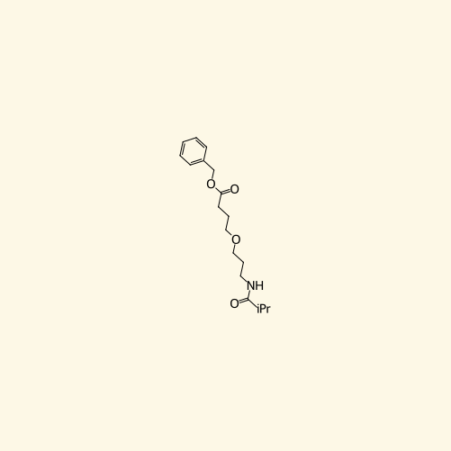 CC(C)C(=O)NCCCOCCCC(=O)OCc1ccccc1